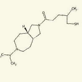 CC(CS)CCC(=O)N1CC2CCN(C(C)C)CC[C@@H]2C1